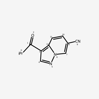 CC(C)C(=O)c1cnn2cc(C#N)ccc12